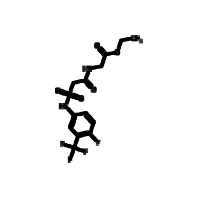 CCOC(=O)CNC(=O)CS(=O)(=O)Nc1ccc(F)c(C(F)(F)F)c1